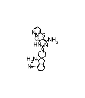 N#Cc1cccc2c1[C@@H](N)C1(CCN(c3nc(N)c(Sc4cccnn4)c(=O)[nH]3)CC1)C2